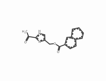 CC(=O)c1nc(COC(=O)c2ccc3ccccc3c2)c[nH]1